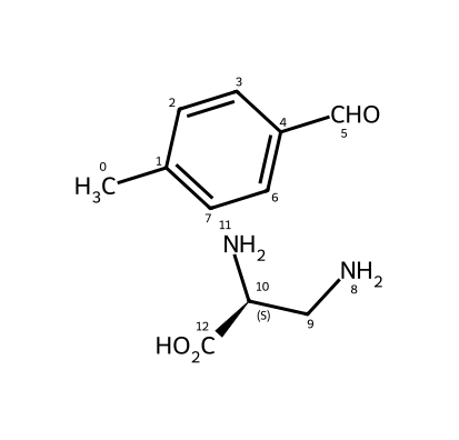 Cc1ccc(C=O)cc1.NC[C@H](N)C(=O)O